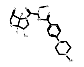 CCCN1CCN(c2ccc(C(=O)N[C@@H](CC(C)C)C(=O)N3C[C@H](C(C)(C)C)[C@H]4OCC(=O)[C@H]43)cc2)CC1